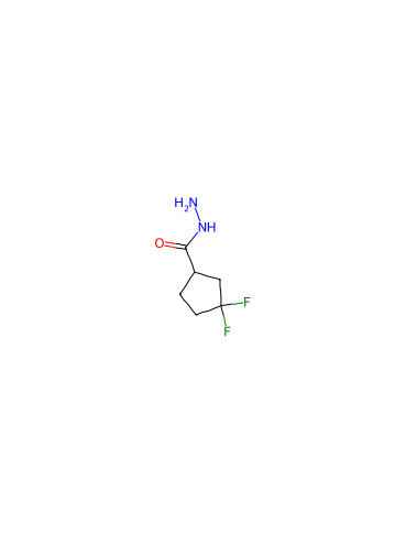 NNC(=O)C1CCC(F)(F)C1